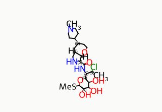 CSC1O[C@H]([C@H](NC(=O)[C@H]2NC[C@@H]3C[C@@H](C4CCN(C)CC4)CCO[C@H]32)[C@H](C)Cl)C(O)C(O)[C@H]1O